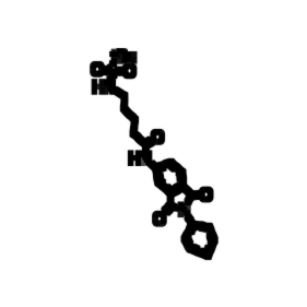 CC(C)(C)S(=O)(=O)NCCCCC(=O)Nc1ccc2c(c1)C(=O)N(c1ccccc1)C2=O